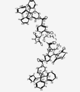 CC(OC(=O)OC(C)[C@@H](c1ccc(C(=O)N2CCN(C(c3ccccc3)(c3ccccc3)c3ccccc3)CC2)cc1[N+](=O)[O-])N1C(=O)CCC1=O)[C@@H](c1ccc(C(=O)N2CCN(C(c3ccccc3)(c3ccccc3)c3ccccc3)CC2)cc1[N+](=O)[O-])N1C(=O)CCC1=O